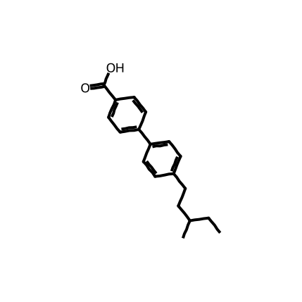 CCC(C)CCc1ccc(-c2ccc(C(=O)O)cc2)cc1